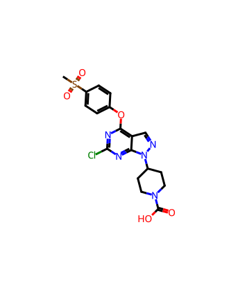 CS(=O)(=O)c1ccc(Oc2nc(Cl)nc3c2cnn3C2CCN(C(=O)O)CC2)cc1